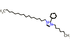 CCCCCCCCCCCCCCCCN1C=CN(CCCCCC)C1c1ccccc1